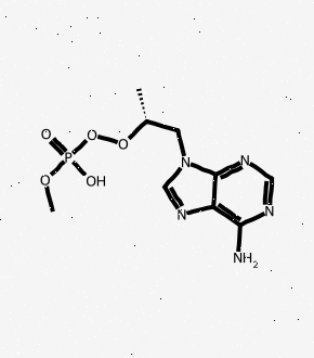 COP(=O)(O)OO[C@H](C)Cn1cnc2c(N)ncnc21